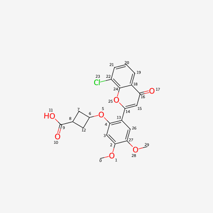 COc1cc(OC2CC(C(=O)O)C2)c(-c2cc(=O)c3cccc(Cl)c3o2)cc1OC